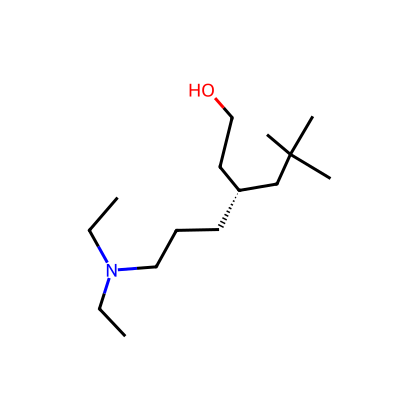 CCN(CC)CCC[C@H](CCO)CC(C)(C)C